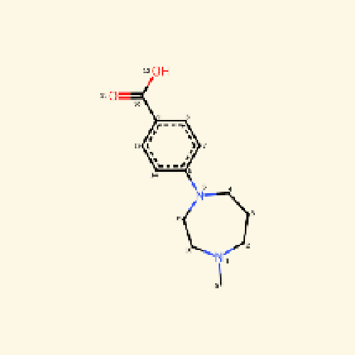 CN1CCCN(c2ccc(C(=O)O)cc2)CC1